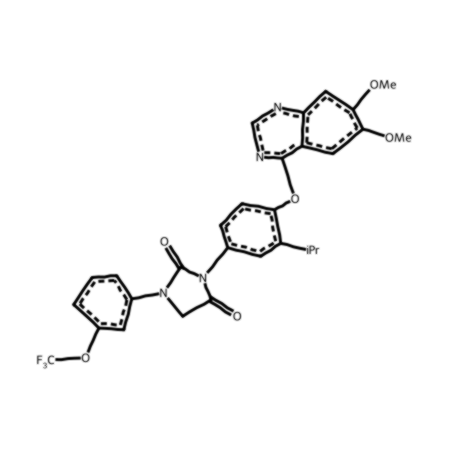 COc1cc2ncnc(Oc3ccc(N4C(=O)CN(c5cccc(OC(F)(F)F)c5)C4=O)cc3C(C)C)c2cc1OC